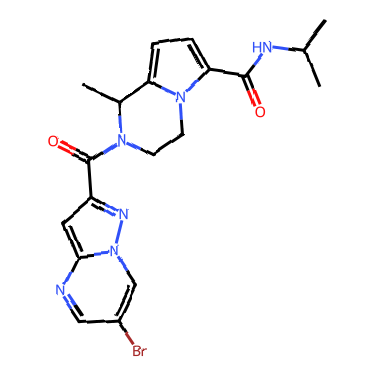 CC(C)NC(=O)c1ccc2n1CCN(C(=O)c1cc3ncc(Br)cn3n1)C2C